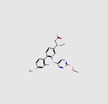 CCOc1ncc(Nc2cc([C@H](CC)CC(=O)O)ccc2-c2ccc(OC)cc2F)cn1